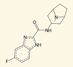 CN1C2CCC1CC(NC(=O)c1nc3cc(F)ccc3[nH]1)C2